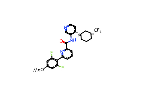 COc1cc(F)c(-c2cccc(C(=O)Nc3cnccc3[C@H]3CCC[C@@H](C(F)(F)F)C3)n2)c(F)c1